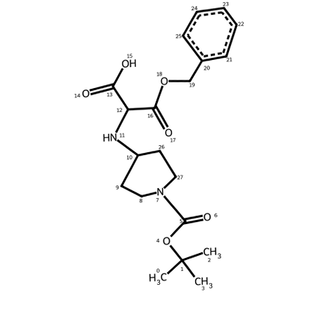 CC(C)(C)OC(=O)N1CCC(NC(C(=O)O)C(=O)OCc2ccccc2)CC1